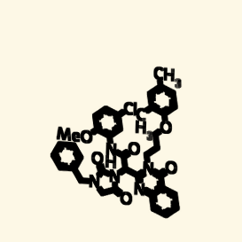 COc1ccc(Cl)cc1NC(=O)C(c1nc2ccccc2c(=O)n1CCCOc1ccc(C)cc1C)N1C(=O)CN(Cc2ccccc2)C1=O